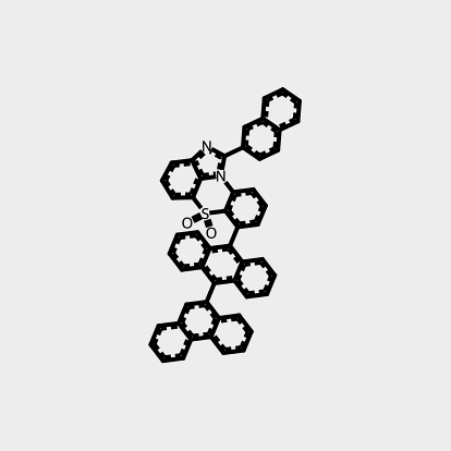 O=S1(=O)c2c(-c3c4ccccc4c(-c4cc5ccccc5c5ccccc45)c4ccccc34)cccc2-n2c(-c3ccc4ccccc4c3)nc3cccc1c32